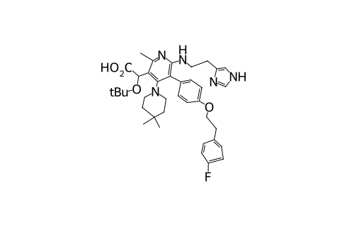 Cc1nc(NCCc2c[nH]cn2)c(-c2ccc(OCCc3ccc(F)cc3)cc2)c(N2CCC(C)(C)CC2)c1C(OC(C)(C)C)C(=O)O